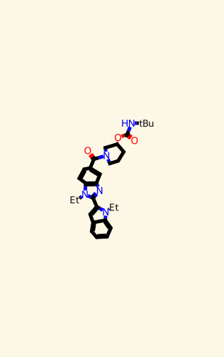 CCn1c(-c2nc3cc(C(=O)N4CCC[C@@H](OC(=O)NC(C)(C)C)C4)ccc3n2CC)cc2ccccc21